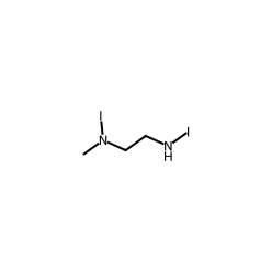 CN(I)CCNI